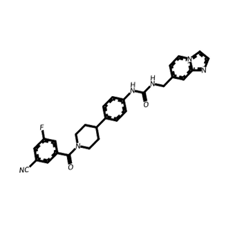 N#Cc1cc(F)cc(C(=O)N2CCC(c3ccc(NC(=O)NCc4ccn5ccnc5c4)cc3)CC2)c1